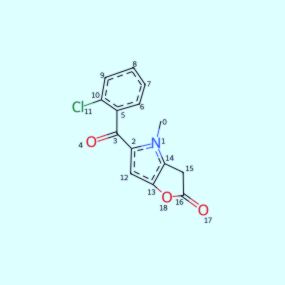 Cn1c(C(=O)c2ccccc2Cl)cc2c1CC(=O)O2